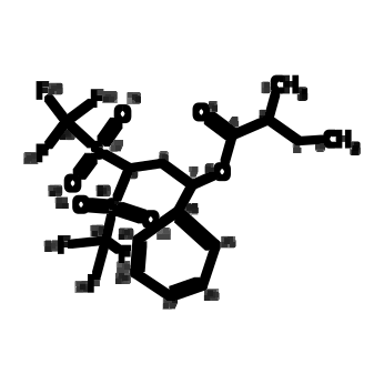 CCC(C)C(=O)OC(CC(S(=O)(=O)C(F)(F)F)S(=O)(=O)C(F)(F)F)c1ccccc1